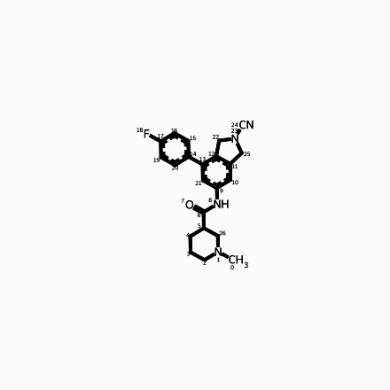 CN1CCCC(C(=O)Nc2cc3c(c(-c4ccc(F)cc4)c2)CN(C#N)C3)C1